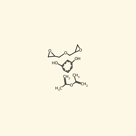 C(OCC1CO1)C1CO1.C=C(C)OC(=C)C.Oc1cccc(O)c1